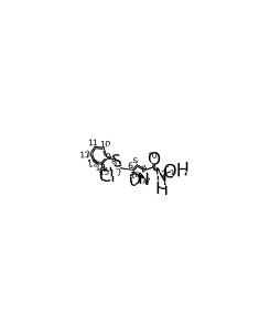 O=C(NO)c1cc(CSc2ccccc2Cl)on1